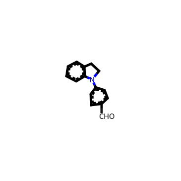 O=Cc1ccc(N2CCc3ccccc32)cc1